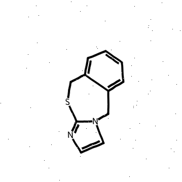 c1ccc2c(c1)CSc1nccn1C2